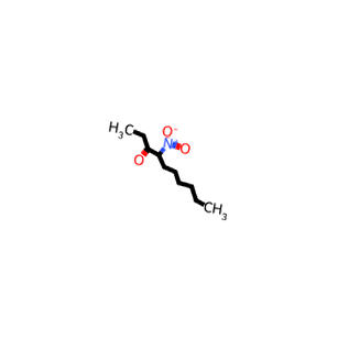 CCCCCCC(C(=O)CC)[N+](=O)[O-]